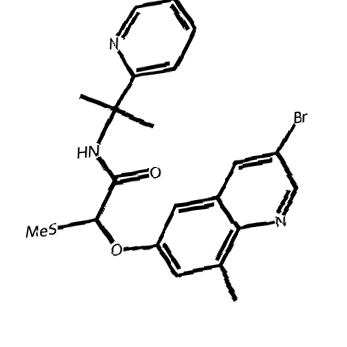 CSC(Oc1cc(C)c2ncc(Br)cc2c1)C(=O)NC(C)(C)c1ccccn1